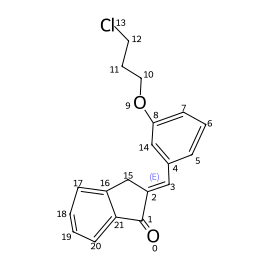 O=C1/C(=C/c2cccc(OCCCCl)c2)Cc2ccccc21